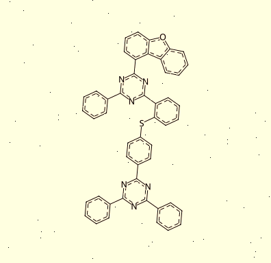 c1ccc(-c2nc(-c3ccccc3)nc(-c3ccc(Sc4ccccc4-c4nc(-c5ccccc5)nc(-c5cccc6oc7ccccc7c56)n4)cc3)n2)cc1